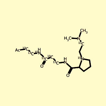 C[13C](=O)[13CH2][13CH2][15NH][13C](=O)[13CH2][13CH2]NC(=O)C1CCC[15N]1C[13CH2]N(C)C